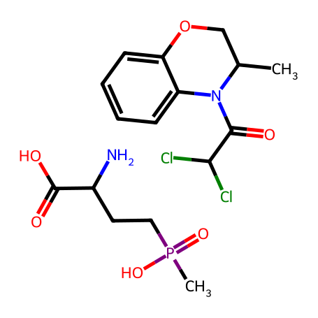 CC1COc2ccccc2N1C(=O)C(Cl)Cl.CP(=O)(O)CCC(N)C(=O)O